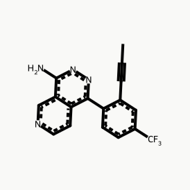 CC#Cc1cc(C(F)(F)F)ccc1-c1nnc(N)c2cnccc12